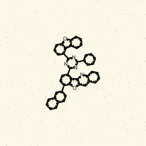 c1ccc(-c2nc(-c3cccc4oc5ccccc5c34)nc(-c3ccc(-c4ccc5ccccc5c4)c4oc5cc6ccccc6nc5c34)n2)cc1